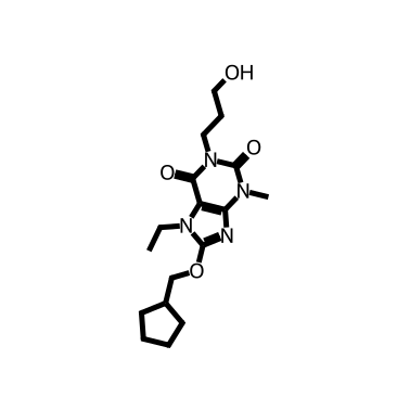 CCn1c(OCC2CCCC2)nc2c1c(=O)n(CCCO)c(=O)n2C